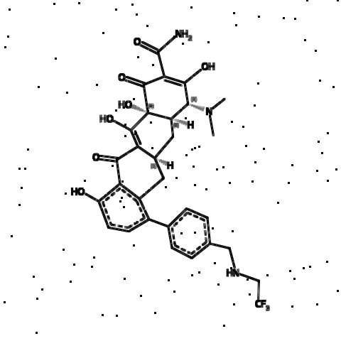 CN(C)[C@H]1C(O)=C(C(N)=O)C(=O)[C@]2(O)C(O)=C3C(=O)c4c(O)ccc(-c5ccc(CNCC(F)(F)F)cc5)c4C[C@@H]3C[C@H]12